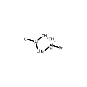 [Br][AlH][Br].[CH3].[CH3][Al]([Cl])[Cl]